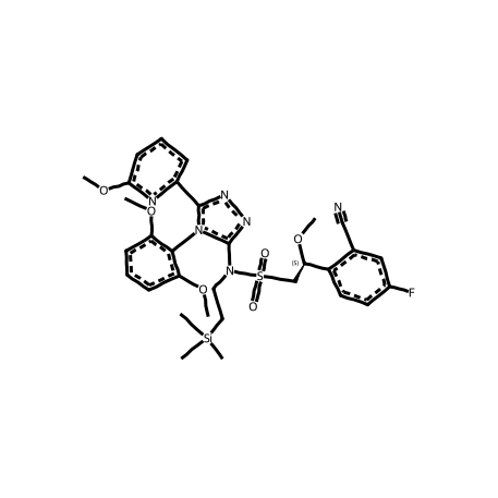 COc1cccc(-c2nnc(N(CC[Si](C)(C)C)S(=O)(=O)C[C@@H](OC)c3ccc(F)cc3C#N)n2-c2c(OC)cccc2OC)n1